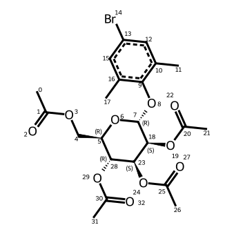 CC(=O)OC[C@H]1O[C@H](Oc2c(C)cc(Br)cc2C)[C@@H](OC(C)=O)[C@@H](OC(C)=O)[C@@H]1OC(C)=O